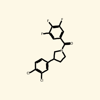 O=C(c1cc(F)c(F)c(F)c1)N1CCC(c2ccc(Cl)c(Cl)c2)C1